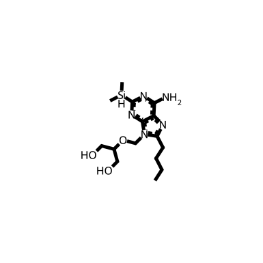 CCCCc1nc2c(N)nc([SiH](C)C)nc2n1COC(CO)CO